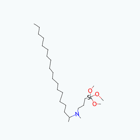 CCCCCCCCCCCCCCCCCC(C)N(C)CCC[Si](OC)(OC)OC